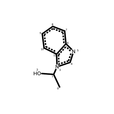 CC(O)n1cnc2ccccc21